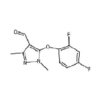 Cc1nn(C)c(Oc2ccc(F)cc2F)c1C=O